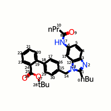 CCCCc1nc2ccc(NC(=O)CCC)cc2n1Cc1ccc(-c2ccccc2C(=O)OC(C)(C)C)cc1